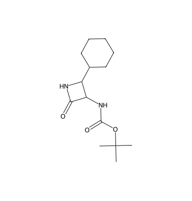 CC(C)(C)OC(=O)NC1C(=O)NC1C1CCCCC1